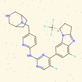 Fc1cnc(Nc2ccc(CN3C4CCC3CNC4)cn2)nc1-c1cc(F)c2nc3n(c2c1)[C@H](C(F)(F)F)CC3